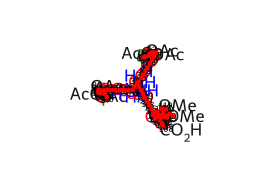 COc1ccc(C(OCC2(C)CN(C(=O)CCCCCCCCC(=O)NCC(=O)Nc3cc(C(=O)NCCOCCOCCOCCOC4O[C@H](COC(C)=O)[C@H](OC(C)=O)[C@H](OC(C)=O)[C@H]4NC(=O)C(C)(F)F)cc(C(=O)NCCOCCOCCOCCOC4O[C@H](COC(C)=O)[C@H](OC(C)=O)[C@H](OC(C)=O)[C@H]4NC(=O)C(C)(F)F)c3)CC2(C)COC(=O)CCC(=O)O)(c2ccccc2)c2ccc(OC)cc2)cc1